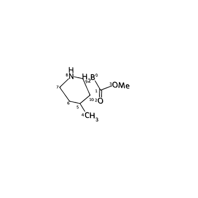 BC(=O)OC.CC1CCNCC1